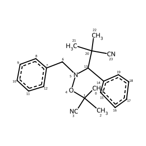 CC(C)(C#N)ON(Cc1ccccc1)C(c1ccccc1)C(C)(C)C#N